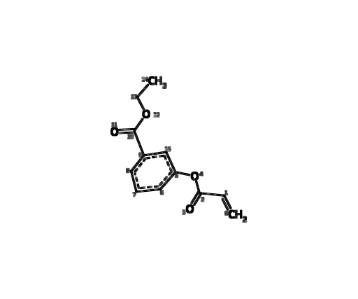 C=CC(=O)Oc1cccc(C(=O)OCC)c1